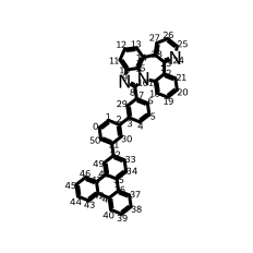 c1cc(-c2cccc(-c3nc4cccc5c4n3-c3ccccc3-c3ncccc3-5)c2)cc(-c2ccc3c4ccccc4c4ccccc4c3c2)c1